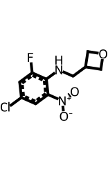 O=[N+]([O-])c1cc(Cl)cc(F)c1NCC1COC1